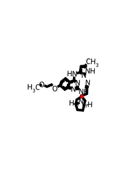 COCCOc1ccc2c(Nc3cc(C)[nH]n3)nc(NC3C[C@H]4CC[C@H](C3)N4CCC#N)nc2c1